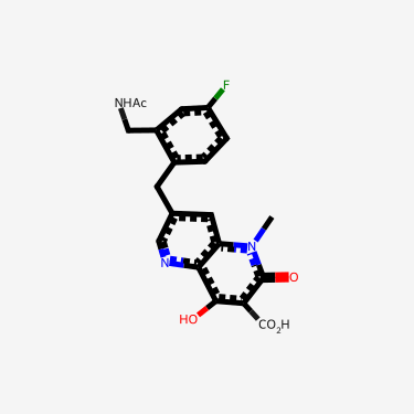 CC(=O)NCc1cc(F)ccc1Cc1cnc2c(O)c(C(=O)O)c(=O)n(C)c2c1